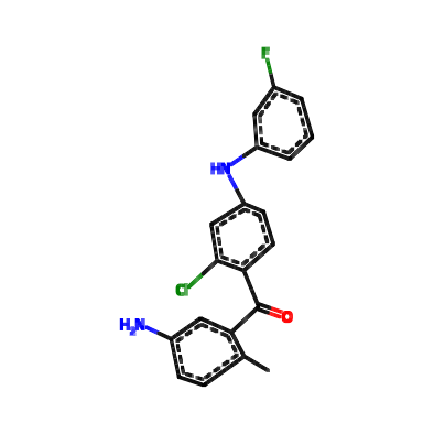 Cc1ccc(N)cc1C(=O)c1ccc(Nc2cccc(F)c2)cc1Cl